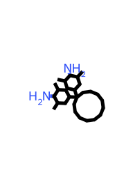 CC1CC(C2(C3CC(C)C(N)C(C)C3)CCCCCCCCCCC2)CC(C)C1N